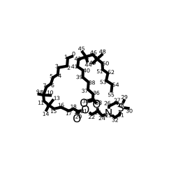 CCCCCCCCC(C)(C)CC(C)(C)CCCCC(=O)OCC(CN1CCS(C)(C)CC1)OC(=O)CCCCCCCC(C)(C)CC(C)(C)CCCCCC